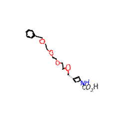 O=C(O)N[C@H]1C[C@H](COCCOCCOCCOCc2ccccc2)C1